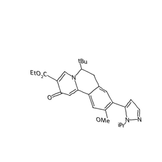 CCOC(=O)c1cn2c(cc1=O)-c1cc(OC)c(-c3ccnn3C(C)C)cc1CC2C(C)(C)C